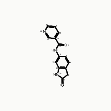 O=C1Cc2ccc(NC(=O)c3cccnc3)cc2N1